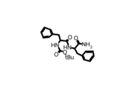 CC(C)(C)OC(=O)NC(Cc1ccccc1)C(=O)NC(Cc1ccccc1)C(N)=O